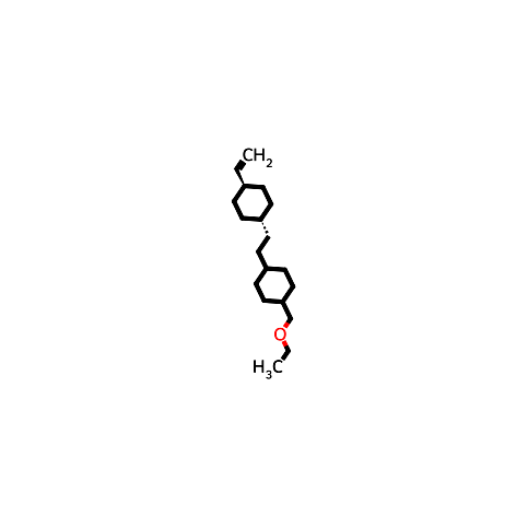 C=C[C@H]1CC[C@H](CCC2CCC(COCC)CC2)CC1